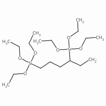 [CH2]CC(CCC[Si](OCC)(OCC)OCC)[Si](OCC)(OCC)OCC